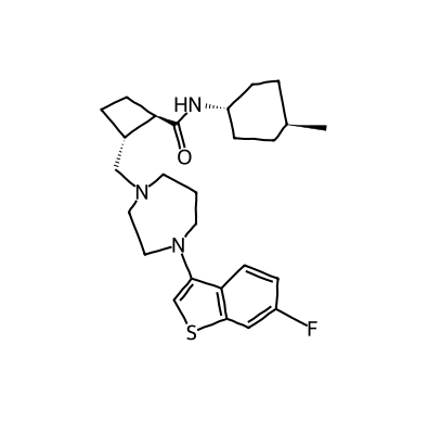 C[C@H]1CC[C@H](NC(=O)[C@@H]2CC[C@H]2CN2CCCN(c3csc4cc(F)ccc34)CC2)CC1